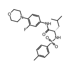 Cc1ccc(S(=O)(=O)N[C@@H](CC(C)C)C(=O)Nc2ccc(N3CCOCC3)c(F)c2)cc1